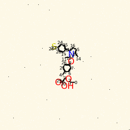 CCO[C@@H](Cc1ccc(OC(C)n2c(C)ccc2-c2ccc(SC)cc2)cc1)C(=O)O